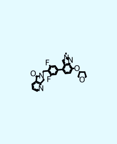 Cn1cc2c(-c3cc(F)c(CN4Cc5ncccc5C4=O)c(F)c3)ccc(O[C@H]3CCOC3)c2n1